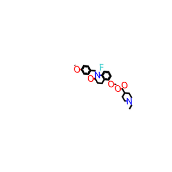 CCN1CCC(C(=O)OCOc2ccc(F)c3c2CCC(=O)N3Cc2ccc(OC)cc2)CC1